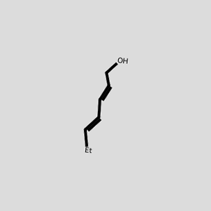 CC/C=C/C=C/CO